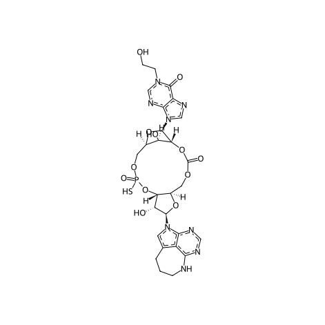 O=C1OC[C@H]2O[C@@H](n3cc4c5c(ncnc53)NCCC4)[C@H](O)[C@@H]2OP(=O)(S)OC[C@H]2O[C@@H](n3cnc4c(=O)n(CCO)cnc43)[C@H](O1)[C@@H]2O